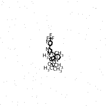 CN(C(=O)C1(C)CCC1(OC(=O)C(C)(C)C)C1=CC=CC=CN1)c1cc(-c2ccc(C(F)(F)F)nc2)ncn1